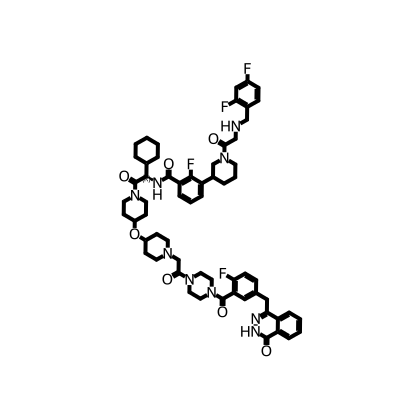 O=C(N[C@@H](C(=O)N1CCC(OC2CCN(CC(=O)N3CCN(C(=O)c4cc(Cc5n[nH]c(=O)c6ccccc56)ccc4F)CC3)CC2)CC1)C1CCCCC1)c1cccc(C2CCCN(C(=O)CNCc3ccc(F)cc3F)C2)c1F